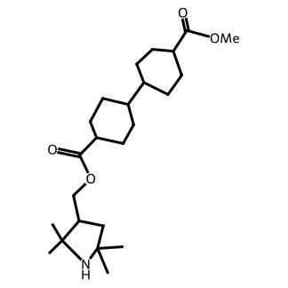 COC(=O)C1CCC(C2CCC(C(=O)OCC3CC(C)(C)NC3(C)C)CC2)CC1